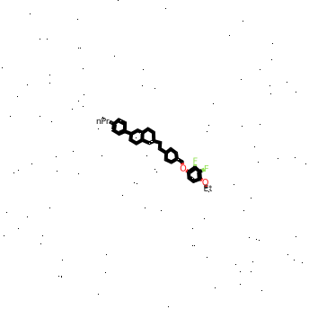 CCCc1ccc(C2CCC3CC(CCC4CCC(COc5ccc(OCC)c(F)c5F)CC4)CCC3C2)cc1